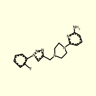 Nc1cccc(N2CCN(Cc3cn(-c4ccccc4F)nn3)CC2)n1